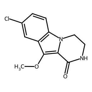 COc1c2n(c3ccc(Cl)cc13)CCNC2=O